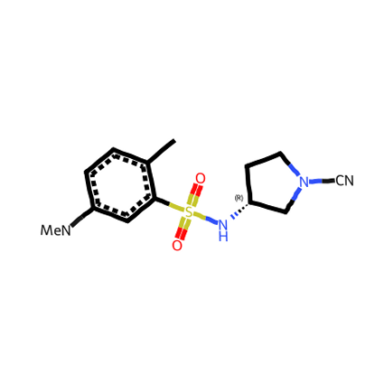 CNc1ccc(C)c(S(=O)(=O)N[C@@H]2CCN(C#N)C2)c1